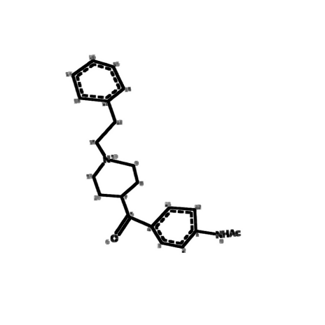 CC(=O)Nc1ccc(C(=O)C2CCN(CCc3ccccc3)CC2)cc1